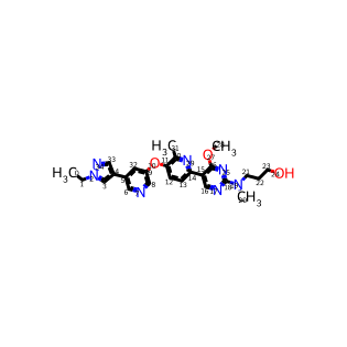 CCn1cc(-c2cncc(Oc3ccc(-c4cnc(N(C)CCCO)nc4OC)nc3C)c2)cn1